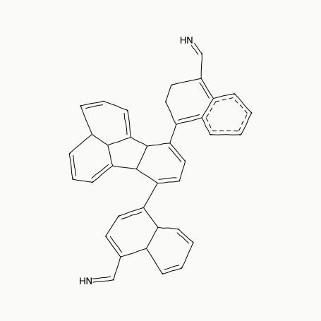 N=CC1=CC=C(C2=CC=C(C3=c4ccccc4=C(C=N)CC3)C3C4=CC=CC5C=CC=C(C45)C23)C2C=CC=CC12